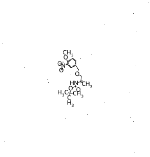 COc1ccc(COC[C@H](C)NC(=O)OC(C)(C)C)cc1[N+](=O)[O-]